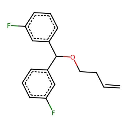 C=CCCOC(c1cccc(F)c1)c1cccc(F)c1